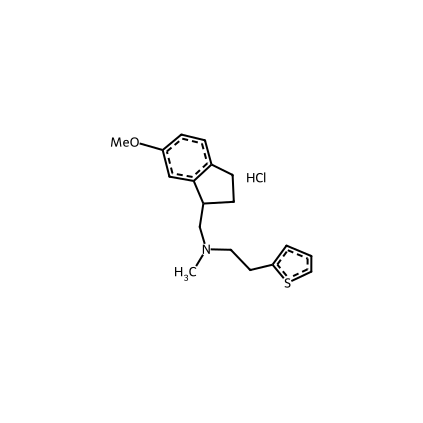 COc1ccc2c(c1)C(CN(C)CCc1cccs1)CC2.Cl